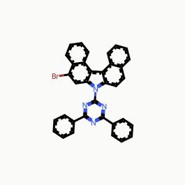 Brc1cc2c(c3ccccc13)c1c3ccccc3ccc1n2-c1nc(-c2ccccc2)nc(-c2ccccc2)n1